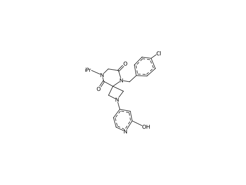 CC(C)N1CC(=O)N(Cc2ccc(Cl)cc2)C2(CN(c3ccnc(O)c3)C2)C1=O